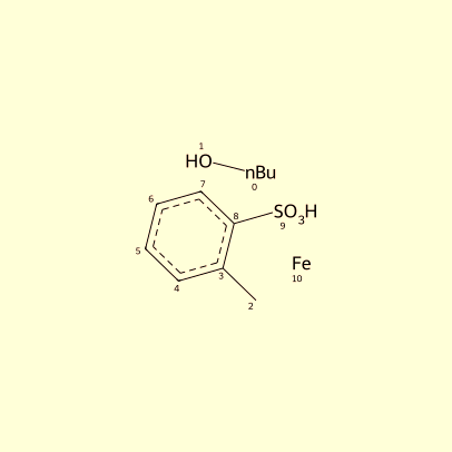 CCCCO.Cc1ccccc1S(=O)(=O)O.[Fe]